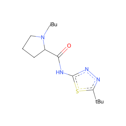 CCC(C)N1CCCC1C(=O)Nc1nnc(C(C)(C)C)s1